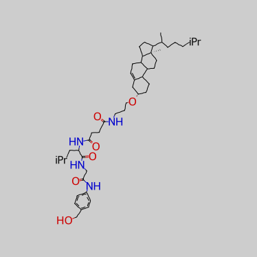 CC(C)CCCC(C)C1CCC2C3CC=C4C[C@@H](OCCCNC(=O)CCC(=O)NC(CC(C)C)C(=O)NCC(=O)Nc5ccc(CO)cc5)CCC4C3CC[C@]12C